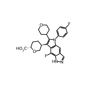 O=C(O)[C@@H]1CC[C@@H](c2c(C3CCOCC3)n(-c3ccc(F)cc3)c3cc4cn[nH]c4c(F)c23)CO1